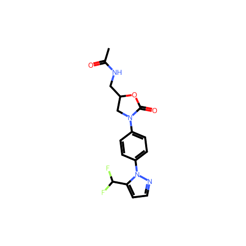 CC(=O)NCC1CN(c2ccc(-n3nccc3C(F)F)cc2)C(=O)O1